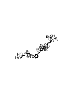 CCC(C)(C)OC(=O)CCC(=O)OC(CC)(CC)C(CC)(CC)CC(O)COc1cccc(OCC(O)CC(CC)(CC)SCC(O)CO)c1